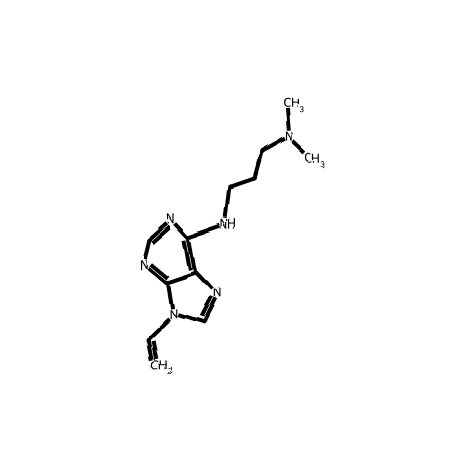 C=Cn1cnc2c(NCCCN(C)C)ncnc21